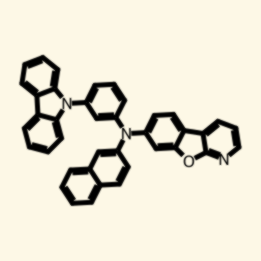 c1cc(N(c2ccc3ccccc3c2)c2ccc3c(c2)oc2ncccc23)cc(-n2c3ccccc3c3ccccc32)c1